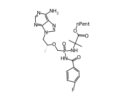 CCCCCOC(=O)C(C)(C)NP(=O)(CO[C@H](C)Cn1cnc2c(N)ncnc21)NC(=O)c1ccc(F)cc1